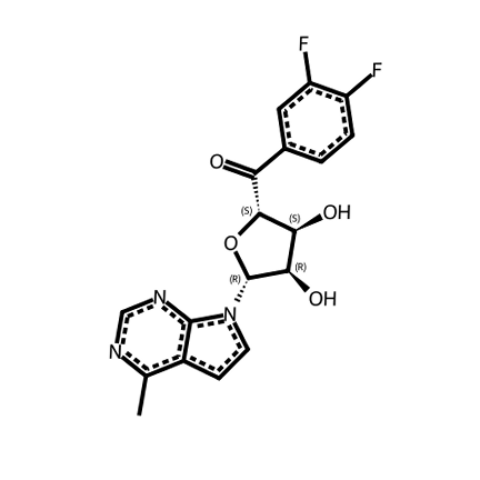 Cc1ncnc2c1ccn2[C@@H]1O[C@H](C(=O)c2ccc(F)c(F)c2)[C@@H](O)[C@H]1O